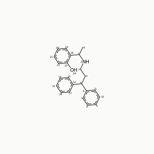 CC(NCCC(c1ccccc1)c1ccccc1)c1ccccc1O